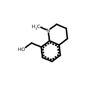 CN1CCCc2cccc(CO)c21